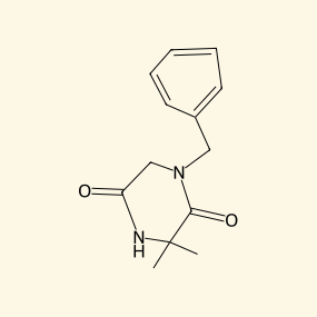 CC1(C)NC(=O)CN(Cc2ccccc2)C1=O